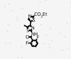 CCOC(=O)c1ncc(-c2nc(NC(=O)c3c(F)cccc3F)sc2C)s1